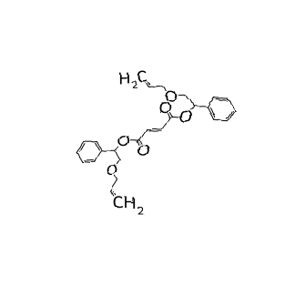 C=CCOCC(OC(=O)C=CC(=O)OC(COCC=C)c1ccccc1)c1ccccc1